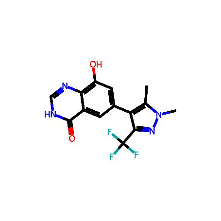 Cc1c(-c2cc(O)c3nc[nH]c(=O)c3c2)c(C(F)(F)F)nn1C